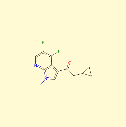 Cn1cc(C(=O)CC2CC2)c2c(F)c(F)cnc21